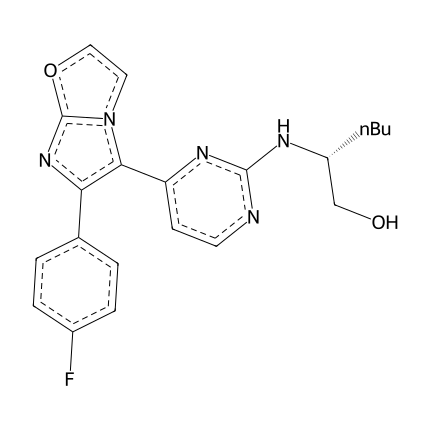 CCCC[C@H](CO)Nc1nccc(-c2c(-c3ccc(F)cc3)nc3occn23)n1